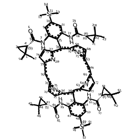 CC1(C)C[C@@H]1C(=O)Nc1cc([Si](C)(C)C)cc(NC(=O)[C@@H]2CC2(C)C)c1-c1c2nc(cc3ccc([nH]3)c(-c3c(NC(=O)[C@H]4CC4(C)C)cc([Si](C)(C)C)cc3NC(=O)[C@@H]3CC3(C)C)c3nc(cc4ccc1[nH]4)C=C3)C=C2